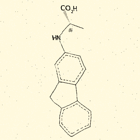 C[C@H](Nc1ccc2c(c1)Cc1ccccc1-2)C(=O)O